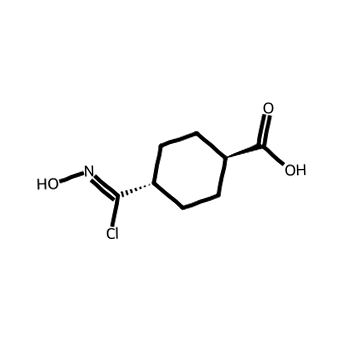 O=C(O)[C@H]1CC[C@H](C(Cl)=NO)CC1